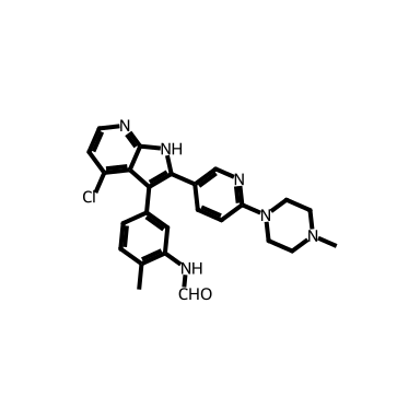 Cc1ccc(-c2c(-c3ccc(N4CCN(C)CC4)nc3)[nH]c3nccc(Cl)c23)cc1NC=O